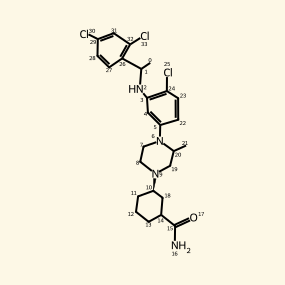 CC(Nc1cc(N2CCN([C@@H]3CCCC(C(N)=O)C3)CC2C)ccc1Cl)c1ccc(Cl)cc1Cl